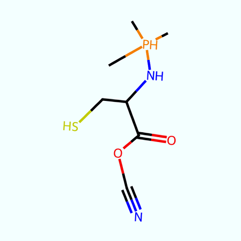 C[PH](C)(C)NC(CS)C(=O)OC#N